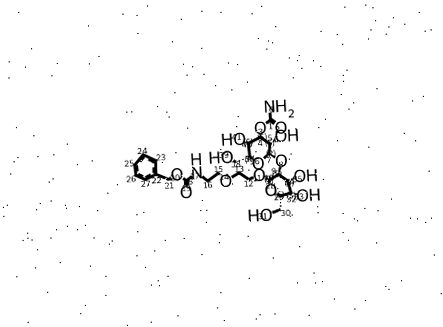 NC(=O)O[C@@H]1[C@H](O)[C@@H](O[C@@H]2[C@H](OCCOCCNC(=O)OCc3ccccc3)O[C@@H](CO)[C@@H](O)[C@H]2O)O[C@H](CO)[C@@H]1O